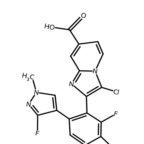 Cn1cc(-c2ccc(F)c(F)c2-c2nc3cc(C(=O)O)ccn3c2Cl)c(F)n1